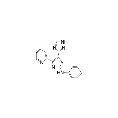 c1ccc(Nc2nc(-c3ccccn3)c(-c3nc[nH]n3)s2)cc1